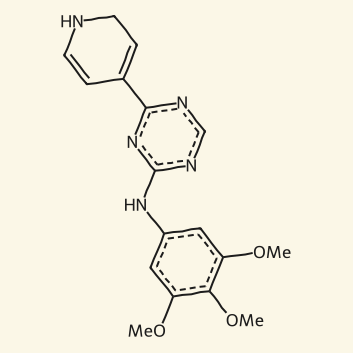 COc1cc(Nc2ncnc(C3=CCNC=C3)n2)cc(OC)c1OC